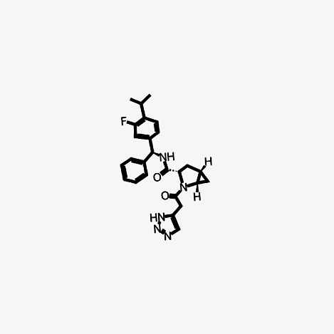 CC(C)c1ccc([C@@H](NC(=O)[C@@H]2C[C@@H]3C[C@@H]3N2C(=O)Cc2cnn[nH]2)c2ccccc2)cc1F